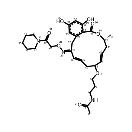 CC(=O)NCCCOC1/C=C/C[C@@H](C)OC(=O)c2c(O)cc(O)cc2CC(=N\OCC(=O)N2CCCCC2)/C=C/C1